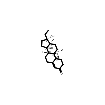 CC[C@]1(O)CC[C@H]2[C@@H]3CCC4=CC(=O)CC[C@@H]4[C@H]3[C@@H](F)C[C@@]21C